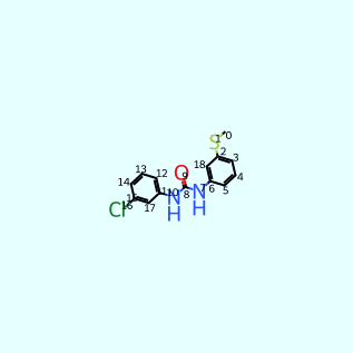 CSc1cccc(NC(=O)Nc2cccc(Cl)c2)c1